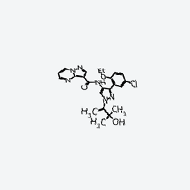 CCOc1ccc(Cl)cc1-c1nn(C(C)C(C)(C)O)cc1NC(=O)c1cnn2cccnc12